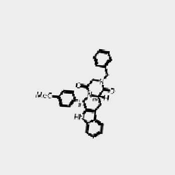 COc1ccc([C@H]2c3[nH]c4ccccc4c3C[C@H]3C(=O)N(Cc4ccccc4)CC(=O)N23)cc1